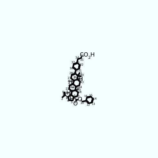 C=C(C)[C@@H]1CC[C@]2(C(=O)OCc3ccccc3)CC[C@]3(C)[C@H](CC[C@@H]4[C@@]5(C)CC=C(c6ccc(CCC(=O)O)cc6)C(C)(C)[C@@H]5CC[C@]43C)[C@@H]12